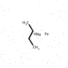 CCCC.[Fe].[NaH]